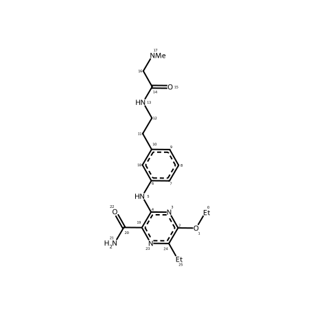 CCOc1nc(Nc2cccc(CCNC(=O)CNC)c2)c(C(N)=O)nc1CC